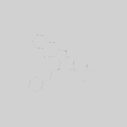 CCCC[C@H](NC(=O)[C@H]1C(=O)C(Cc2ccccc2)C(Br)N1C(=O)CCc1ccccc1)B(O)O